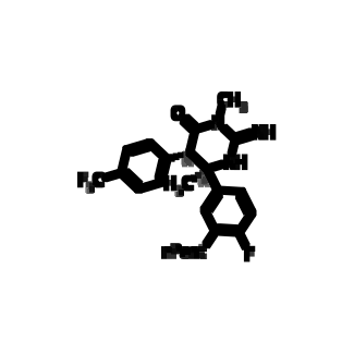 CCCCCc1cc([C@]2(C)NC(=N)N(C)C(=O)[C@H]2c2ccc(C(F)(F)F)cc2)ccc1F